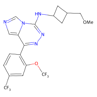 COCC1CC(Nc2nnc(-c3ccc(C(F)(F)F)cc3OC(F)(F)F)c3cncn23)C1